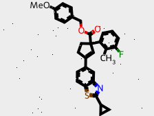 COc1ccc(COC(=O)C2(c3cccc(F)c3C)C=C(c3ccc4sc(C5CC5)nc4c3)CC2)cc1